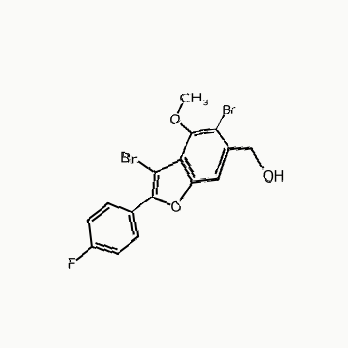 COc1c(Br)c(CO)cc2oc(-c3ccc(F)cc3)c(Br)c12